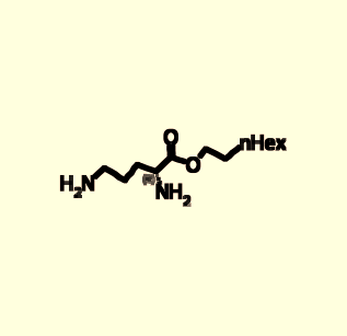 CCCCCCCCOC(=O)[C@H](N)CCCN